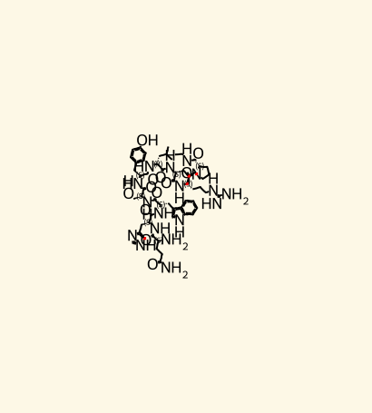 CCNC(=O)[C@@H]1CCCN1C(=O)[C@H](CCCNC(=N)N)NC(=O)[C@H](CC(C)C)NC(=O)[C@@H](CC(C)C)NC(=O)[C@H](Cc1ccc(O)cc1)NC(=O)[C@H](CO)NC(=O)[C@H](Cc1c[nH]c2ccccc12)NC(=O)[C@H](Cc1c[nH]cn1)NC(=O)[C@@H](N)CCC(N)=O